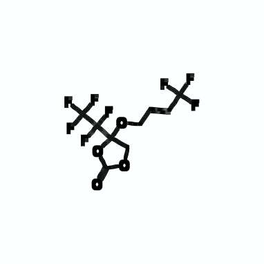 O=C1OCC(OCC=CC(F)(F)F)(C(F)(F)C(F)(F)F)O1